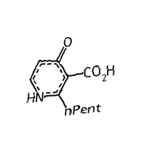 CCCCCc1[nH]ccc(=O)c1C(=O)O